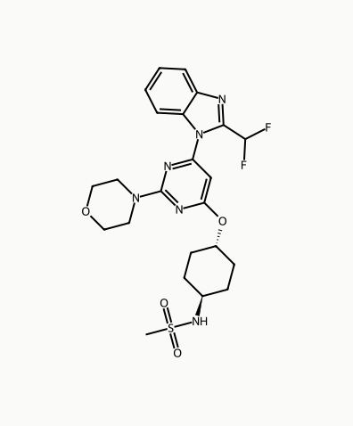 CS(=O)(=O)N[C@H]1CC[C@H](Oc2cc(-n3c(C(F)F)nc4ccccc43)nc(N3CCOCC3)n2)CC1